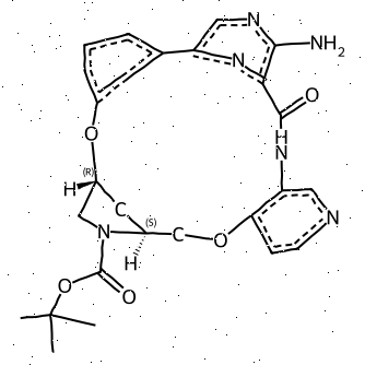 CC(C)(C)OC(=O)N1C[C@H]2C[C@H]1COc1ccncc1NC(=O)c1nc(cnc1N)-c1cccc(c1)O2